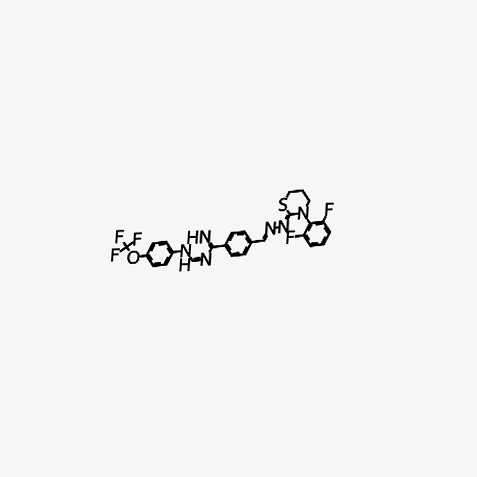 N=C(/N=C\Nc1ccc(OC(F)(F)F)cc1)c1ccc(/C=N/N=C2\SCCCN2c2c(F)cccc2F)cc1